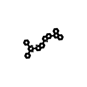 c1ccc(-c2cc(-c3ccccc3)nc(-c3ccc4ccc(-c5ccc6ccc(-c7cc8ccccc8c8ccccc78)cc6n5)cc4n3)n2)cc1